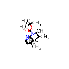 Cc1ccnc(N(C(=O)OC(C)(C)C)C(C)C(C)C)c1